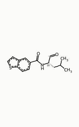 CC(C)C[C@@H]([C]=O)NC(=O)c1ccc2sccc2c1